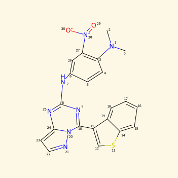 CN(C)c1ccc(Nc2nc(-c3csc4ccccc34)n3nccc3n2)cc1[N+](=O)[O-]